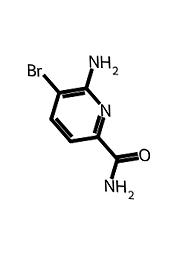 NC(=O)c1ccc(Br)c(N)n1